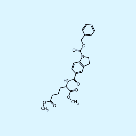 COC(=O)CCCC(NC(=O)c1ccc2c(c1)CCN2C(=O)OCc1ccccc1)C(=O)OC